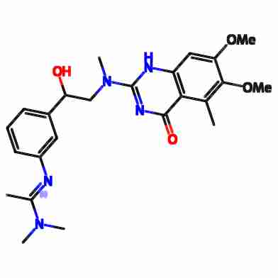 COc1cc2[nH]c(N(C)CC(O)c3cccc(/N=C(\C)N(C)C)c3)nc(=O)c2c(C)c1OC